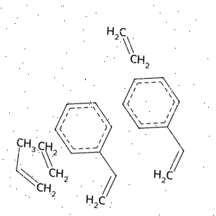 C=C.C=C.C=CC.C=Cc1ccccc1.C=Cc1ccccc1